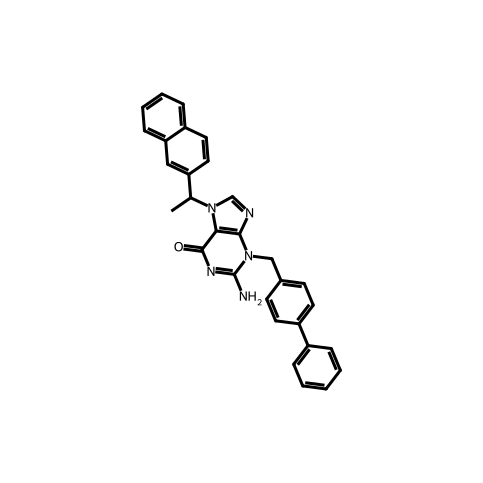 CC(c1ccc2ccccc2c1)n1cnc2c1c(=O)nc(N)n2Cc1ccc(-c2ccccc2)cc1